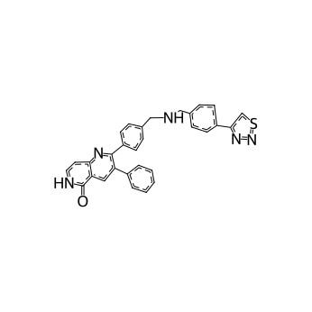 O=c1[nH]ccc2nc(-c3ccc(CNCc4ccc(-c5csnn5)cc4)cc3)c(-c3ccccc3)cc12